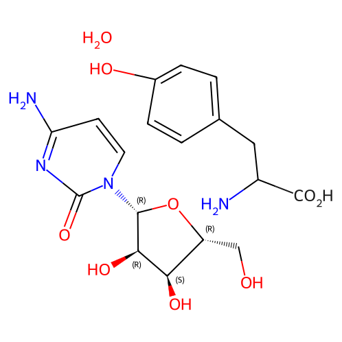 NC(Cc1ccc(O)cc1)C(=O)O.Nc1ccn([C@@H]2O[C@H](CO)[C@@H](O)[C@H]2O)c(=O)n1.O